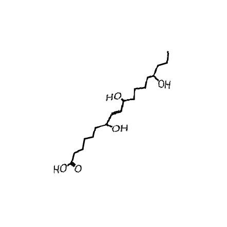 CCCC(O)CCCCC(O)/C=C/C(O)CCCCCC(=O)O